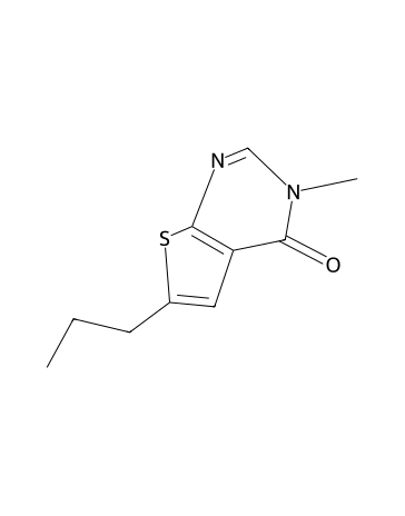 CCCc1cc2c(=O)n(C)cnc2s1